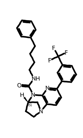 O=C(NCCCCc1ccccc1)N1c2nc(-c3cccc(C(F)(F)F)c3)ccc2N2CC[C@H]1C2